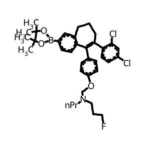 CCCN(CCCF)COc1ccc(C2=C(c3ccc(Cl)cc3Cl)CCCc3cc(B4OC(C)(C)C(C)(C)O4)ccc32)cc1